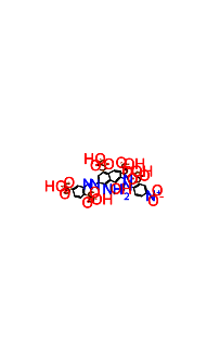 Nc1c(N=Nc2cc(S(=O)(=O)O)ccc2S(=O)(=O)O)cc(S(=O)(=O)O)c2cc(S(=O)(=O)O)c(N=Nc3ccc([N+](=O)[O-])cc3S(=O)(=O)O)c(O)c12